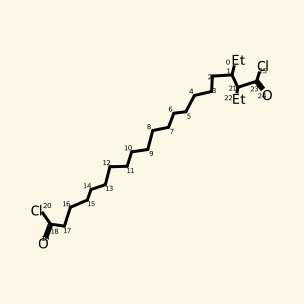 CCC(CCCCCCCCCCCCCCCCC(=O)Cl)C(CC)C(=O)Cl